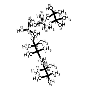 CC(C)(O)C(C)(C)O.CC(C)(O)C(C)(C)O.CC(C)(O)C(C)(C)O.OB(O)O.OB(O)O